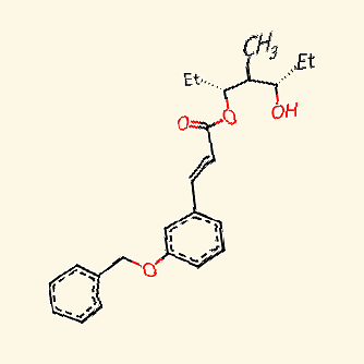 CC[C@H](O)C(C)[C@@H](CC)OC(=O)C=Cc1cccc(OCc2ccccc2)c1